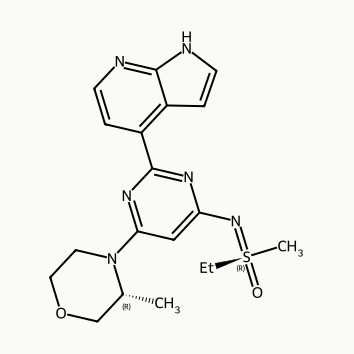 CC[S@@](C)(=O)=Nc1cc(N2CCOC[C@H]2C)nc(-c2ccnc3[nH]ccc23)n1